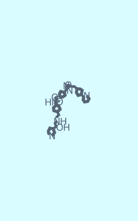 O=S(=O)(Nc1ccc(CCNCC(O)c2cccnc2)cc1)c1ccc(-c2noc(Cc3ccc(-c4ccccn4)cc3)n2)cc1